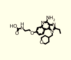 CCc1nc2c(N)nc3cc(OCCNC(=O)O)ccc3c2n1CC1CCOCC1